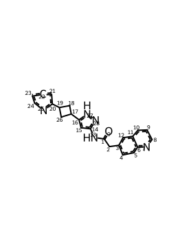 O=C(Cc1ccc2ncccc2c1)Nc1cc(C2CC(c3ccccn3)C2)[nH]n1